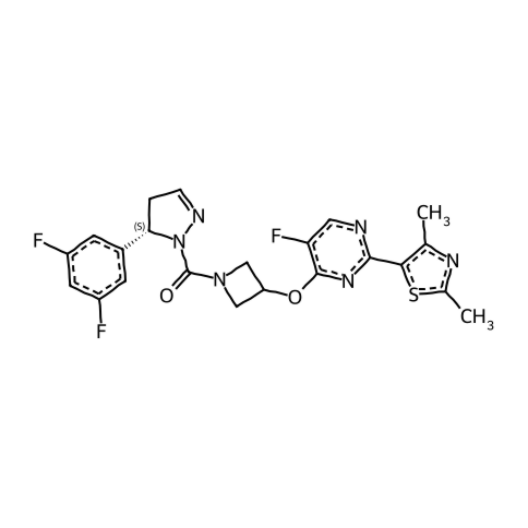 Cc1nc(C)c(-c2ncc(F)c(OC3CN(C(=O)N4N=CC[C@H]4c4cc(F)cc(F)c4)C3)n2)s1